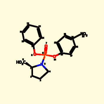 O=C(O)[C@@H]1CCCN1P(=O)(Oc1ccccc1)Oc1ccc([N+](=O)[O-])cc1